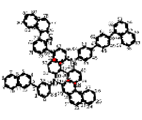 c1cc(-c2ccc3ccccc3c2)cc(N(c2ccc3c(ccc4ccccc43)c2)c2ccccc2-c2ccccc2N(c2ccc(-c3ccc(-c4cccc5ccccc45)cc3)cc2)c2ccc(-c3cccc4c3sc3ccc5ccccc5c34)cc2)c1